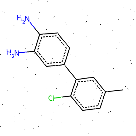 Cc1ccc(Cl)c(-c2ccc(N)c(N)c2)c1